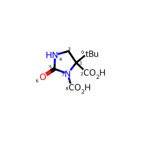 CC(C)(C)C1(C(=O)O)CNC(=O)N1C(=O)O